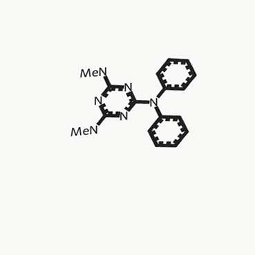 CNc1nc(NC)nc(N(c2ccccc2)c2ccccc2)n1